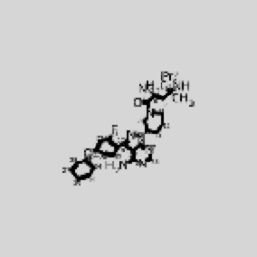 CC(C)NC(C)(C)C=C(C#N)C(=O)N1CCC[C@@H](n2nc(-c3ccc(Oc4ccccc4)cc3F)c3c(N)ncnc32)C1